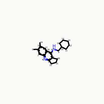 Cc1cc2nc3c(c(NCC4CCCCC4)c2cc1C)CCC3